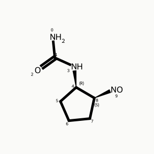 NC(=O)N[C@@H]1CCC[C@@H]1N=O